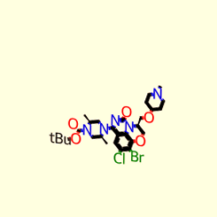 C[C@H]1CN(c2nc(=O)n3c4c(c(Br)c(Cl)cc24)OC[C@@H]3COC2CCN(C)CC2)[C@@H](C)CN1C(=O)OC(C)(C)C